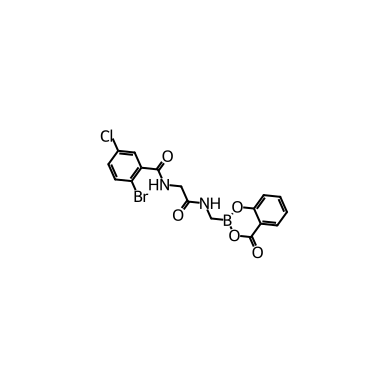 O=C(CNC(=O)c1cc(Cl)ccc1Br)NCB1OC(=O)c2ccccc2O1